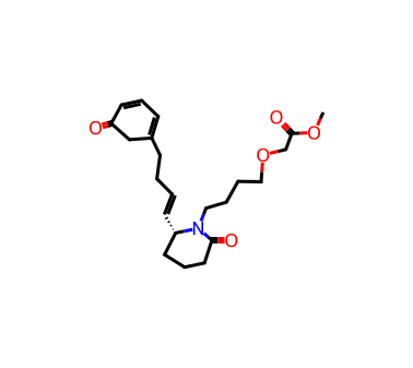 COC(=O)COCCCCN1C(=O)CCC[C@@H]1C=CCCC1=CC=CC(=O)C1